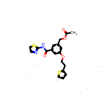 CC(=O)OCc1cc(OCCc2cccs2)cc(C(=O)Nc2nccs2)c1